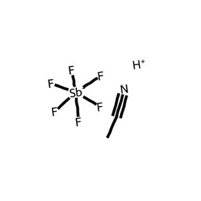 CC#N.[F][Sb-]([F])([F])([F])([F])[F].[H+]